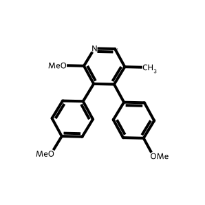 COc1ccc(-c2c(C)[c]nc(OC)c2-c2ccc(OC)cc2)cc1